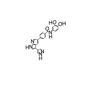 O=C(Nc1ccc(O)c(O)c1)c1ccc(-c2cnc3[nH]cc(-c4cn[nH]c4)c3c2)cc1